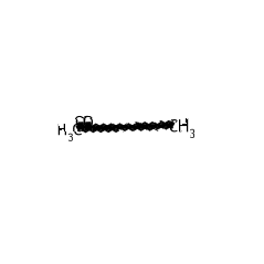 CCCCCCCC/C=C/CCCCCCCCCCCC(=O)CC(C)=O